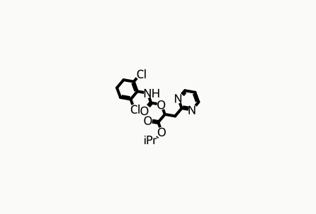 CC(C)OC(=O)C(Cc1ncccn1)OC(=O)NC1=C(Cl)CCC=C1Cl